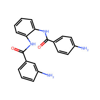 Nc1ccc(C(=O)Nc2ccccc2NC(=O)c2cccc(N)c2)cc1